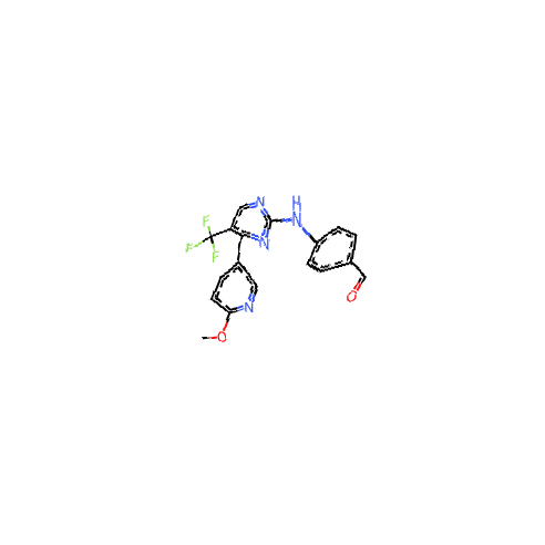 COc1ccc(-c2nc(Nc3ccc(C=O)cc3)ncc2C(F)(F)F)cn1